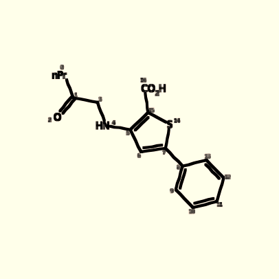 CCCC(=O)CNc1cc(-c2ccccc2)sc1C(=O)O